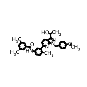 COc1ccc(Cn2nc(C(C)O)c3ccc(-c4cc(NC(=O)c5cc(C)cc(C)c5)ccc4C)nc32)cc1